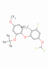 [2H]C([2H])([2H])Oc1cc(OC(F)(F)F)ccc1Oc1cc(OC(F)F)cc(F)c1C(=O)O